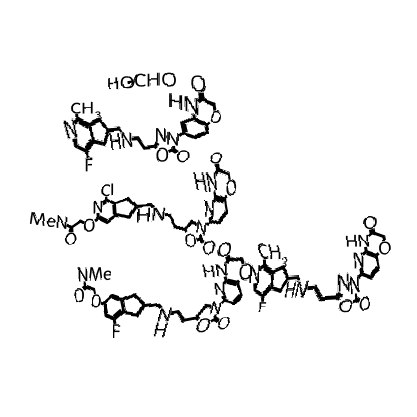 CNC(=O)COc1cc(F)c2c(c1)CC(CNCCC1CN(c3ccc4c(n3)NC(=O)CO4)C(=O)O1)C2.CNC(=O)COc1cc2c(c(Cl)n1)CC(CNCCC1CN(c3ccc4c(n3)NC(=O)CO4)C(=O)O1)C2.Cc1ncc(F)c2c1CC(CNCCc1nn(-c3ccc4c(c3)NC(=O)CO4)c(=O)o1)C2.Cc1ncc(F)c2c1CC(CNCCc1nn(-c3ccc4c(n3)NC(=O)CO4)c(=O)o1)C2.O=CO